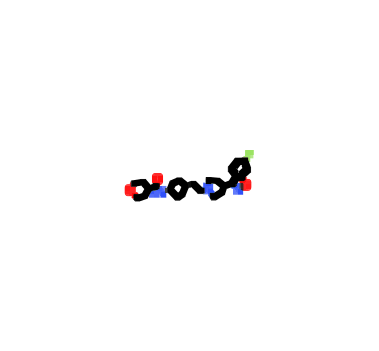 O=C(N[C@H]1CC[C@H](CCN2CCC(c3noc4cc(F)ccc34)CC2)CC1)C1CCOCC1